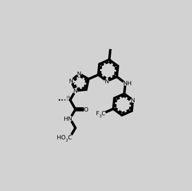 Cc1cc(Nc2cc(C(F)(F)F)ccn2)nc(-c2cn([C@@H](C)C(=O)NCC(=O)O)nn2)c1